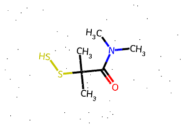 CN(C)C(=O)C(C)(C)SS